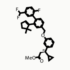 COC(=O)C[C@@H](c1cccc(OCc2ccc(-c3cc(C(F)F)ccc3F)c(C3=CCCC3(C)C)c2)c1)C1CC1